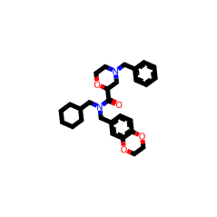 O=C(C1CN(Cc2ccccc2)CCO1)N(Cc1ccc2c(c1)OCCO2)CC1CCCCC1